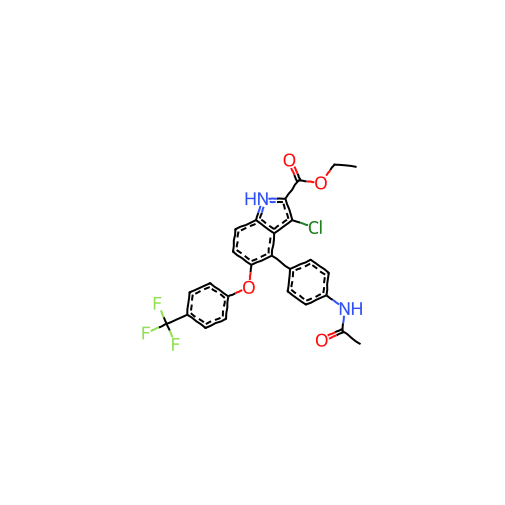 CCOC(=O)c1[nH]c2ccc(Oc3ccc(C(F)(F)F)cc3)c(-c3ccc(NC(C)=O)cc3)c2c1Cl